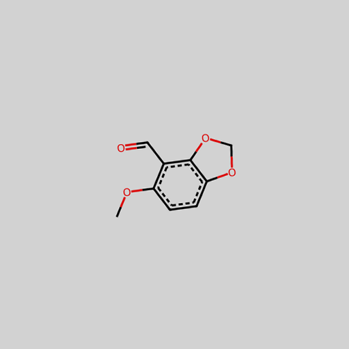 COc1ccc2c(c1C=O)OCO2